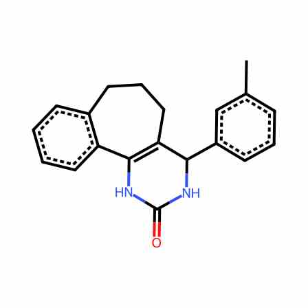 Cc1cccc(C2NC(=O)NC3=C2CCCc2ccccc23)c1